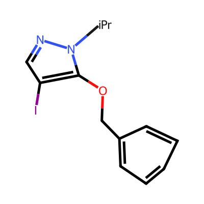 CC(C)n1ncc(I)c1OCc1ccccc1